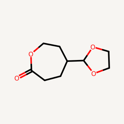 O=C1CCC(C2OCCO2)CCO1